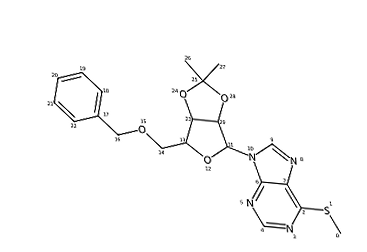 CSc1ncnc2c1ncn2C1OC(COCc2ccccc2)C2OC(C)(C)OC21